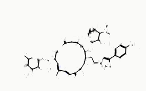 CC[C@H]1OC(=O)C[C@@H](O)[C@H](C)[C@@H](O[C@@H]2O[C@@H]3O[C@H]3C(N(C)C)C2O)[C@@H](CCn2cc(-c3ccc(N)cc3)nn2)C[C@@H](C)C(=O)/C=C/C(C)=C/[C@@H]1CO[C@@H]1OC(C)[C@@H](O)[C@H](OC)C1OC